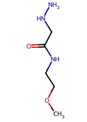 COCCNC(=O)CNN